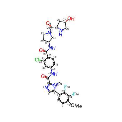 COc1ccc(-c2cnc(C(=O)Nc3ccc(C(=O)NC4CCN(C(=O)[C@@H]5C[C@@H](O)CN5)C4)c(Cl)c3)n2C)c(F)c1F